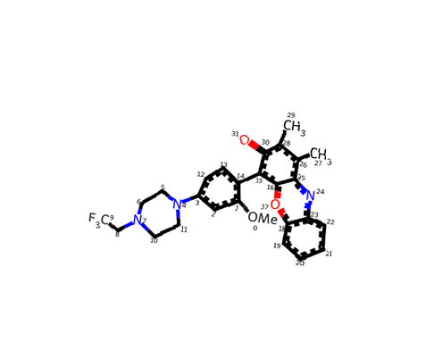 COc1cc(N2CCN(CC(F)(F)F)CC2)ccc1-c1c2oc3ccccc3nc-2c(C)c(C)c1=O